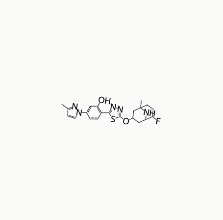 Cc1ccn(-c2ccc(-c3nnc(OC4CC5NC(C)(CCC5F)C4)s3)c(O)c2)n1